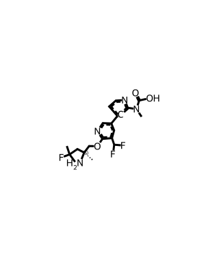 CN(C(=O)O)c1cc(-c2cnc(OC[C@@](C)(N)CC(C)(C)F)c(C(F)F)c2)ccn1